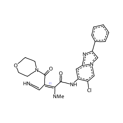 CN/C(C(=O)Nc1cc2nc(-c3ccccc3)cn2cc1Cl)=C(\C=N)C(=O)N1CCOCC1